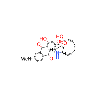 CNc1ccc2c(c1)C(=O)c1c(O)cc3c(c1C2=O)N[C@H]1C#C/C=C\C#C[C@@H](O)[C@@]32O[C@@]12[C@@H](C)O